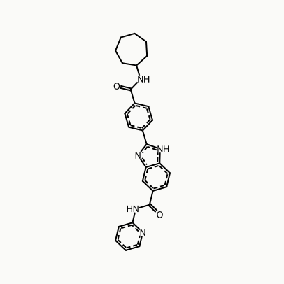 O=C(Nc1ccccn1)c1ccc2[nH]c(-c3ccc(C(=O)NC4CCCCCC4)cc3)nc2c1